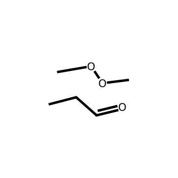 CCC=O.COOC